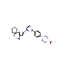 CC(C)(C)OC(=O)N1CCN(c2ccc(-c3nccc(-c4cc5c([nH]4)C4(CCCC4)CNC5=O)n3)cc2)CC1